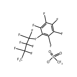 Fc1c(F)c(F)c([I+]C(F)(F)C(F)(F)C(F)(F)C(F)(F)F)c(F)c1F.O=S(=O)([O-])C(F)(F)F